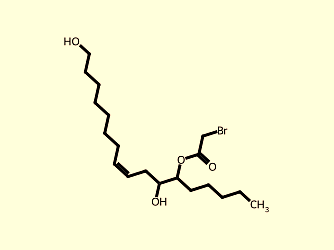 CCCCCC(OC(=O)CBr)C(O)C/C=C\CCCCCCCO